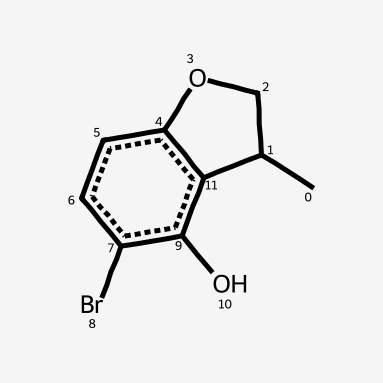 CC1COc2ccc(Br)c(O)c21